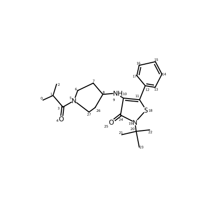 CC(C)C(=O)N1CCC(Nc2c(-c3ccccc3)sn(C(C)(C)C)c2=O)CC1